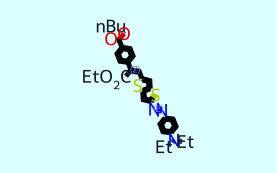 CCCCOC(=O)c1ccc(/C(=C/c2cc3sc(/N=N/c4ccc(N(CC)CC)cc4)cc3s2)C(=O)OCC)cc1